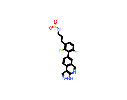 O=[SH](=O)NCCCc1ccc(F)c(-c2ccc3c(cnc4[nH]ncc43)c2)c1F